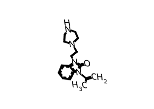 C=C(C)n1c(=O)n(CCN2CCNCC2)c2ccccc21